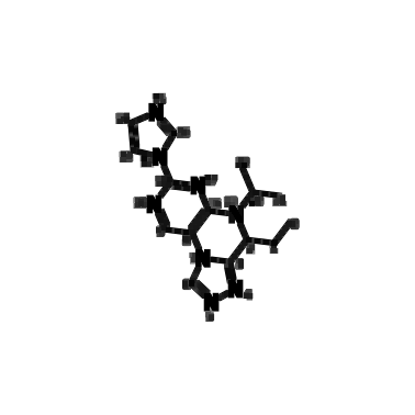 CCC1c2nncn2-c2cnc(-n3ccnc3)nc2N1C(C)C